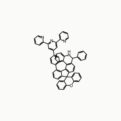 c1ccc(C2Nc3ccccc3-c3c2ccc2c3-c3c(-c4ccc(-c5cc(-c6ccccn6)nc(-c6ccccn6)c5)cc4)cccc3C23c2ccccc2Oc2ccccc23)cc1